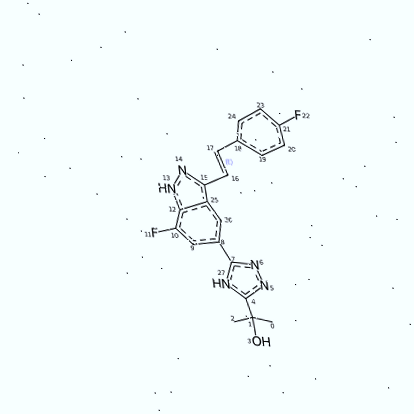 CC(C)(O)c1nnc(-c2cc(F)c3[nH]nc(/C=C/c4ccc(F)cc4)c3c2)[nH]1